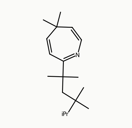 CC(C)C(C)(C)CC(C)(C)C1=NC=CC(C)(C)C=C1